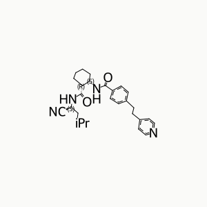 CC(C)C[C@@H](C#N)NC(=O)[C@@H]1CCCC[C@@H]1NC(=O)c1ccc(CCc2ccncc2)cc1